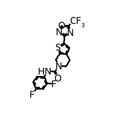 O=C(Nc1ccc(F)cc1F)N1CCc2cc(-c3noc(C(F)(F)F)n3)sc2C1